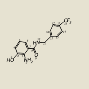 Nc1c(O)cccc1C(=O)NCc1ccc(C(F)(F)F)cc1